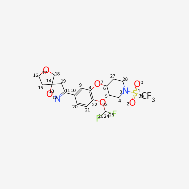 O=S(=O)(N1CCC(Oc2cc(C3=NOC4(CCOC4)C3)ccc2OC(F)F)CC1)C(F)(F)F